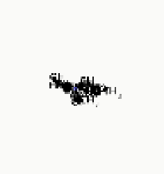 COS(=O)(=O)[O-].COc1ccc2nc3sc(/N=N/c4ccc(NCCO)cc4)[n+](C)c3nc2c1